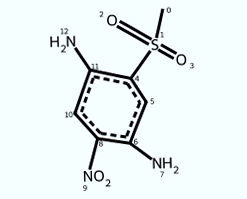 CS(=O)(=O)c1cc(N)c([N+](=O)[O-])cc1N